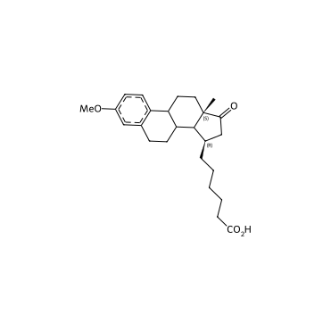 COc1ccc2c(c1)CCC1C2CC[C@]2(C)C(=O)C[C@@H](CCCCCC(=O)O)C12